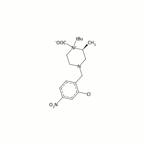 C[C@H]1CN(Cc2ccc([N+](=O)[O-])cc2Cl)CC[N+]1(C(=O)[O-])C(C)(C)C